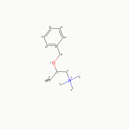 CCCC(C[N+](C)(C)C)OCc1ccccc1